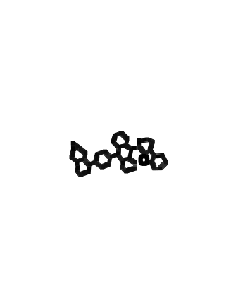 c1cc(-c2ccc(-c3c4ccccc4c(-c4cccc5c4oc4ccccc45)c4ccccc34)cc2)c2cc3c(cc2c1)C3